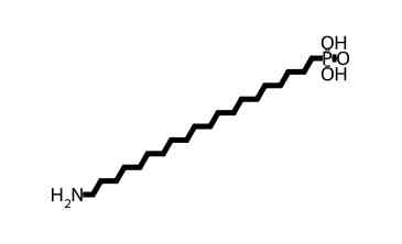 NCCCCCCCCCCCCCCCCCCCCP(=O)(O)O